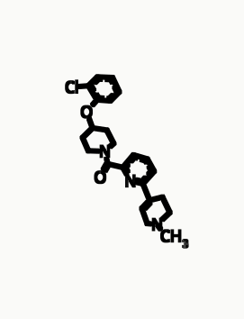 CN1CC=C(c2cccc(C(=O)N3CCC(Oc4ccccc4Cl)CC3)n2)CC1